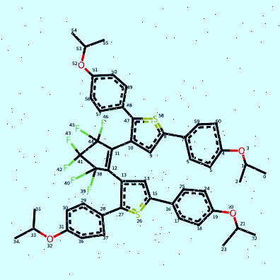 CC(C)Oc1ccc(-c2cc(C3=C(c4cc(-c5ccc(OC(C)C)cc5)sc4-c4ccc(OC(C)C)cc4)C(F)(F)C(F)(F)C3(F)F)c(-c3ccc(OC(C)C)cc3)s2)cc1